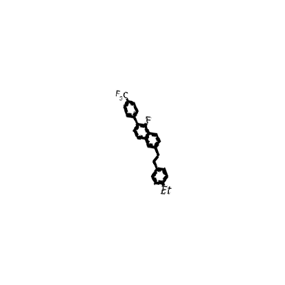 CCc1ccc(CCc2ccc3c(F)c(-c4ccc(C(F)(F)F)cc4)ccc3c2)cc1